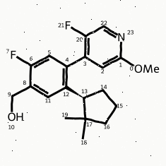 COc1cc(-c2cc(F)c(CO)cc2[C@H]2CCCC2(C)C)c(F)cn1